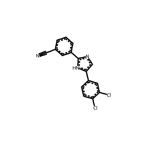 N#Cc1cccc(-c2ncc(-c3ccc(Cl)c(Cl)c3)[nH]2)c1